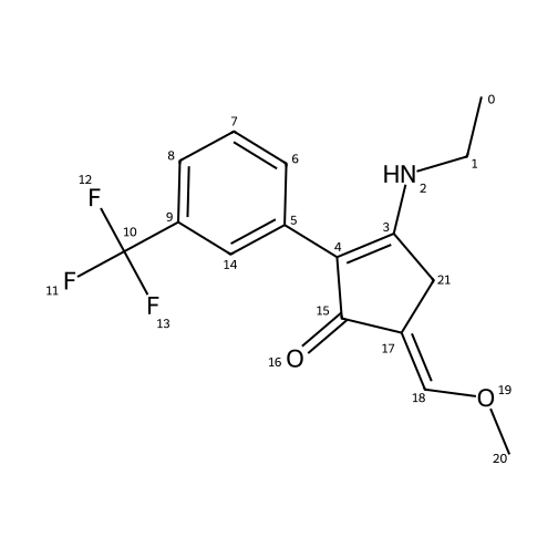 CCNC1=C(c2cccc(C(F)(F)F)c2)C(=O)/C(=C/OC)C1